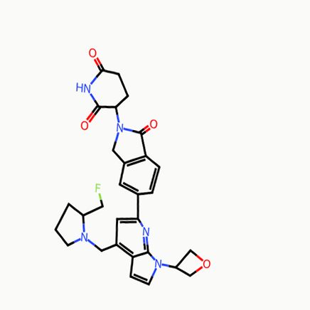 O=C1CCC(N2Cc3cc(-c4cc(CN5CCCC5CF)c5ccn(C6COC6)c5n4)ccc3C2=O)C(=O)N1